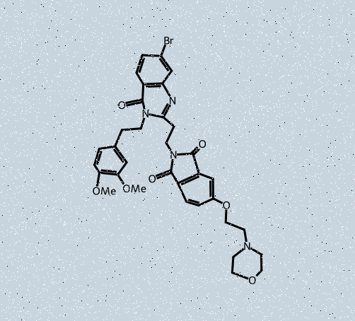 COc1ccc(CCn2c(CCN3C(=O)c4ccc(OCCN5CCOCC5)cc4C3=O)nc3cc(Br)ccc3c2=O)cc1OC